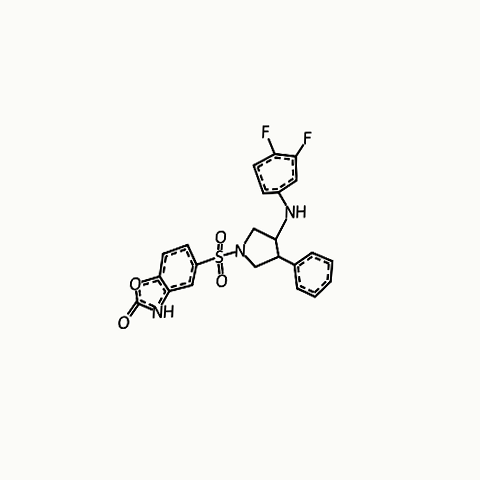 O=c1[nH]c2cc(S(=O)(=O)N3CC(Nc4ccc(F)c(F)c4)C(c4ccccc4)C3)ccc2o1